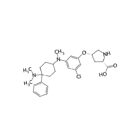 CN(c1cc(Cl)cc(O[C@@H]2CN[C@H](C(=O)O)C2)c1)C1CCC(c2ccccc2)(N(C)C)CC1